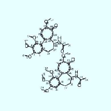 COc1cc2c(c(OC)c1OC)-c1ccc(OC)c(=O)cc1[C@@H](NC(C)=O)CC2.COc1cc2c(c(OC)c1OC)-c1ccc(OC)c(=O)cc1[C@@H](NC(C)=O)CC2